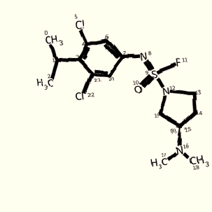 CC(C)c1c(Cl)cc(N=S(=O)(F)N2CC[C@@H](N(C)C)C2)cc1Cl